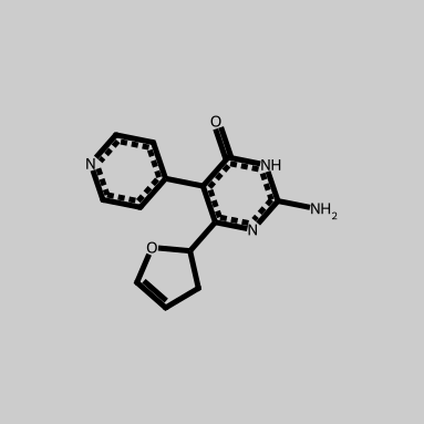 Nc1nc(C2CC=CO2)c(-c2ccncc2)c(=O)[nH]1